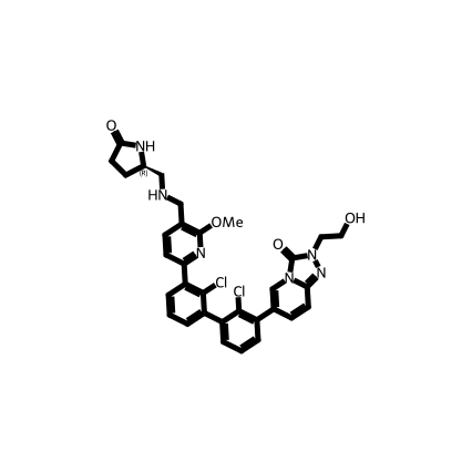 COc1nc(-c2cccc(-c3cccc(-c4ccc5nn(CCO)c(=O)n5c4)c3Cl)c2Cl)ccc1CNC[C@H]1CCC(=O)N1